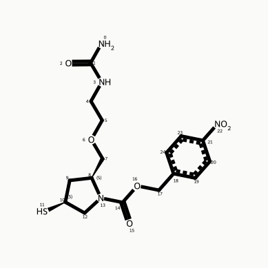 NC(=O)NCCOC[C@@H]1C[C@H](S)CN1C(=O)OCc1ccc([N+](=O)[O-])cc1